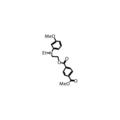 CCN(CCOC(=O)c1ccc(C(=O)OC)cc1)c1cccc(OC)c1